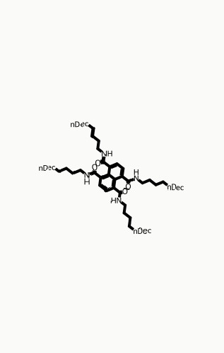 CCCCCCCCCCCCCCNC(=O)c1ccc(C(=O)NCCCCCCCCCCCCCC)c2c(C(=O)NCCCCCCCCCCCCCC)ccc(C(=O)NCCCCCCCCCCCCCC)c12